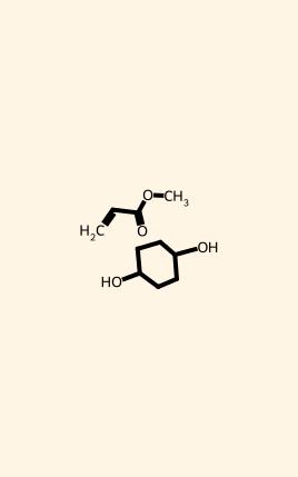 C=CC(=O)OC.OC1CCC(O)CC1